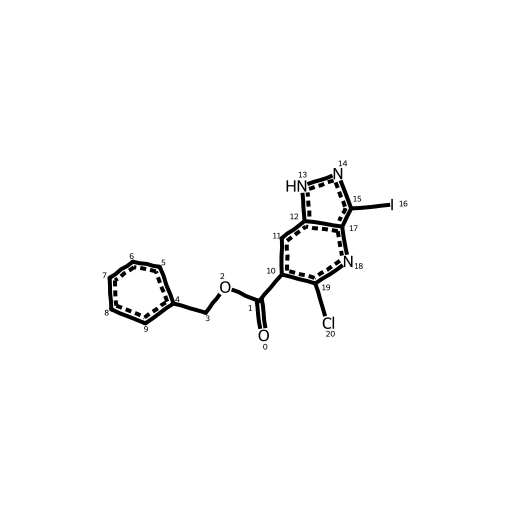 O=C(OCc1ccccc1)c1cc2[nH]nc(I)c2nc1Cl